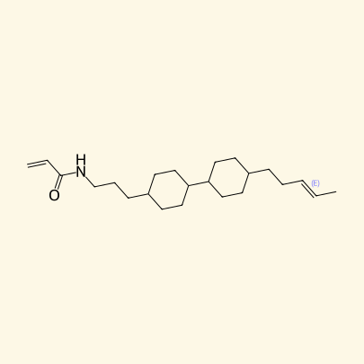 C=CC(=O)NCCCC1CCC(C2CCC(CC/C=C/C)CC2)CC1